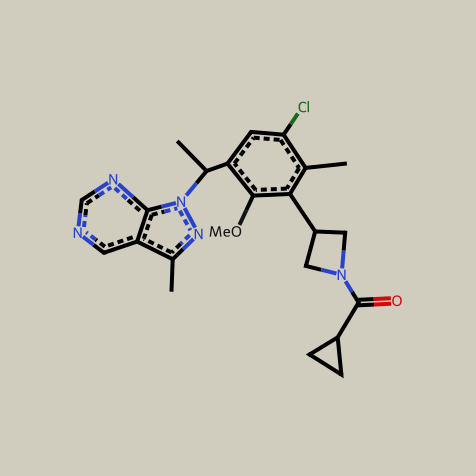 COc1c(C(C)n2nc(C)c3cncnc32)cc(Cl)c(C)c1C1CN(C(=O)C2CC2)C1